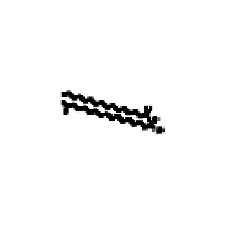 CC(C)CCCCCCCCCCCCCCCO.CCCCCCCCCCCCCCCC(=O)O